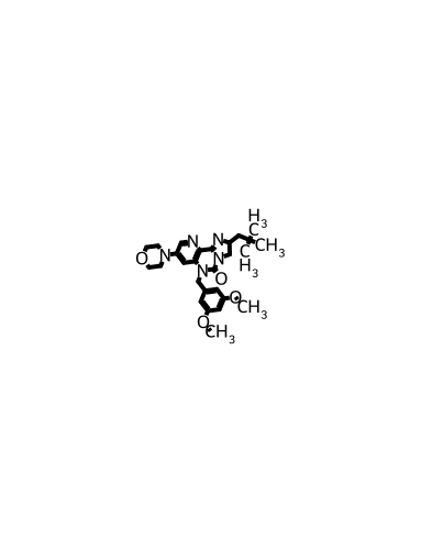 COc1cc(CN2C(=O)N3CC(CC(C)(C)C)N=C3c3ncc(N4CCOCC4)cc32)cc(OC)c1